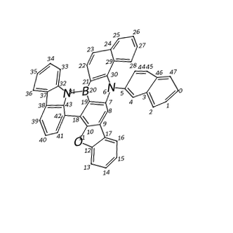 c1ccc2cc(N3c4cc5c(oc6ccccc65)c5c4B(c4ccc6ccccc6c43)n3c4ccccc4c4cccc-5c43)ccc2c1